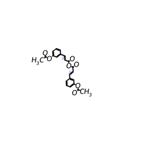 CC(=O)Oc1cccc(/C=C/C(=O)OC(=O)/C=C/c2cccc(OC(C)=O)c2)c1